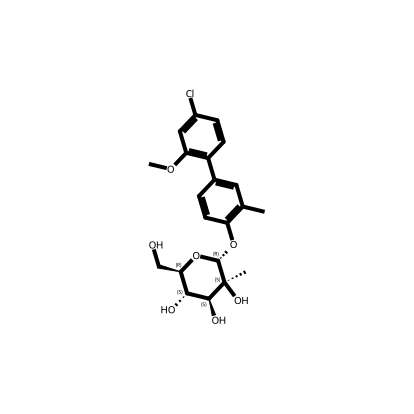 COc1cc(Cl)ccc1-c1ccc(O[C@H]2O[C@H](CO)[C@@H](O)[C@H](O)[C@]2(C)O)c(C)c1